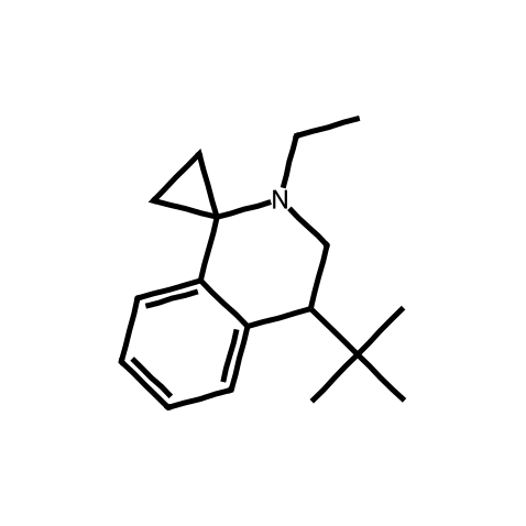 CCN1CC(C(C)(C)C)c2ccccc2C12CC2